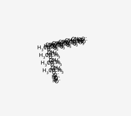 CC1=[N+](C)c2ccccc2C1(C)C.CC1=[N+](C)c2ccccc2C1(C)C.CC1=[N+](C)c2ccccc2C1(C)C.CC1=[N+](C)c2ccccc2C1(C)C.CC1=[N+](C)c2ccccc2C1(C)C.CC1=[N+](C)c2ccccc2C1(C)C.CC1=[N+](C)c2ccccc2C1(C)C.CC1=[N+](C)c2ccccc2C1(C)C.[O-]B([O-])F.[O-]B([O-])F.[O-]B([O-])F.[O-]B([O-])F